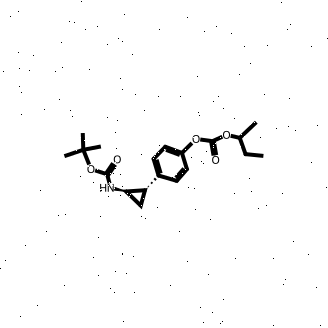 CCC(C)OC(=O)Oc1ccc([C@@H]2C[C@H]2NC(=O)OC(C)(C)C)cc1